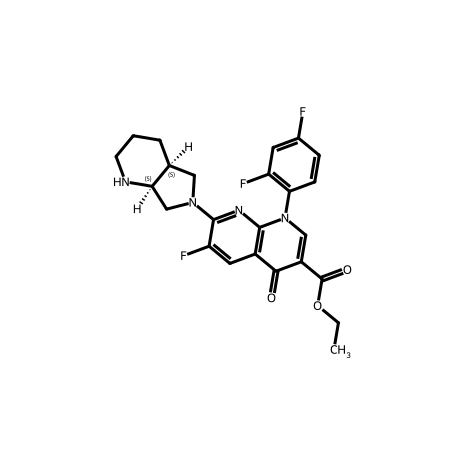 CCOC(=O)c1cn(-c2ccc(F)cc2F)c2nc(N3C[C@@H]4CCCN[C@@H]4C3)c(F)cc2c1=O